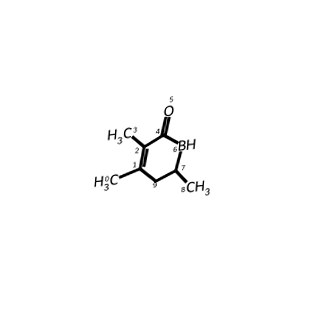 CC1=C(C)C(=O)BC(C)C1